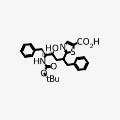 CC(C)(C)OC(=O)N[C@@H](Cc1ccccc1)[C@@H](O)CC(Cc1ccccc1)c1ncc(C(=O)O)s1